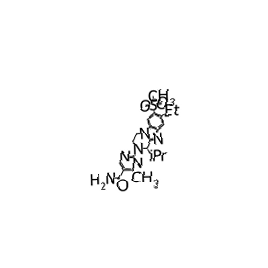 CCc1cc2nc3n(c2cc1S(C)(=O)=O)CCN(c1ncc(C(N)=O)c(C)n1)[C@@H]3C(C)C